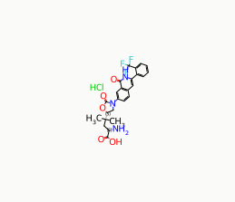 CC(C)(C[C@H](N)C(=O)O)[C@H]1CN(c2ccc3cc(-c4ccccc4C(F)(F)F)[nH]c(=O)c3c2)C(=O)O1.Cl